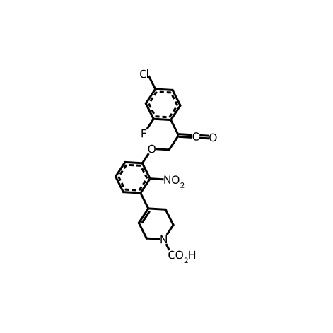 O=C=C(COc1cccc(C2=CCN(C(=O)O)CC2)c1[N+](=O)[O-])c1ccc(Cl)cc1F